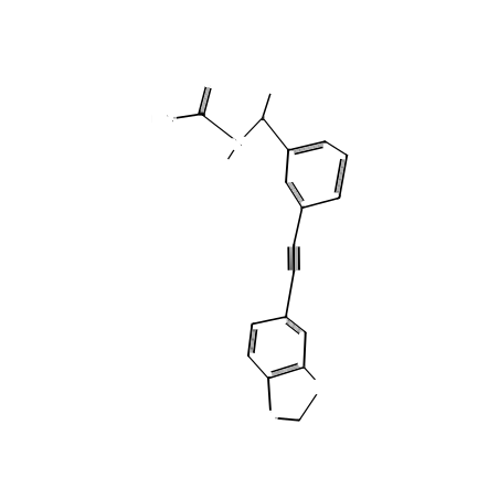 CC(c1cccc(C#Cc2ccc3c(c2)OCO3)c1)N(O)C(N)=O